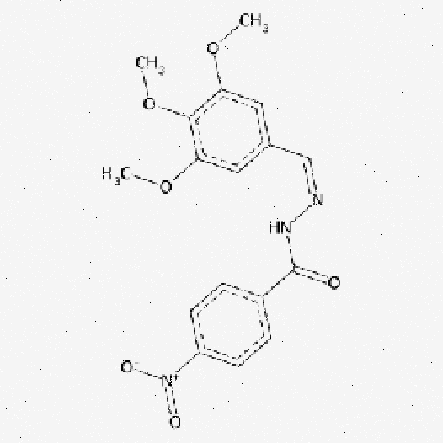 COc1cc(/C=N\NC(=O)c2ccc([N+](=O)[O-])cc2)cc(OC)c1OC